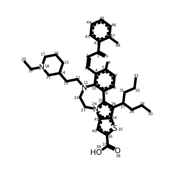 C=C(/C=C\c1c(C)ccc2c1N(CCC1CCCN(CC)C1)CCn1c-2c(C(CCC)CCC)c2sc(C(=O)O)cc21)c1ccccc1C